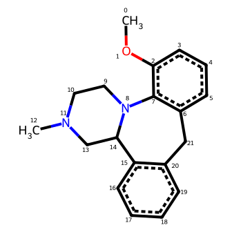 COc1cccc2c1N1CCN(C)CC1c1ccccc1C2